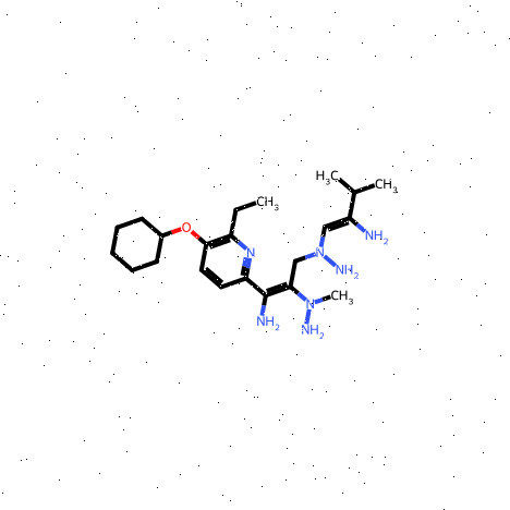 CCc1nc(/C(N)=C(\CN(N)/C=C(\N)C(C)C)N(C)N)ccc1OC1CCCCC1